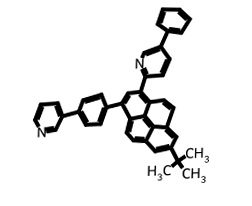 CC(C)(C)c1cc2ccc3c(-c4ccc(-c5cccnc5)cc4)cc(-c4ccc(-c5ccccc5)cn4)c4ccc(c1)c2c34